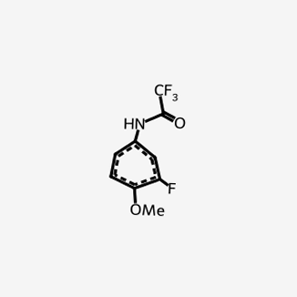 COc1ccc(NC(=O)C(F)(F)F)cc1F